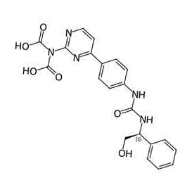 O=C(Nc1ccc(-c2ccnc(N(C(=O)O)C(=O)O)n2)cc1)N[C@H](CO)c1ccccc1